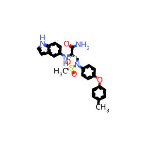 Cc1ccc(Oc2ccc(N(C[C@H](Nc3ccc4[nH]ccc4c3)C(N)=O)S(C)(=O)=O)cc2)cc1